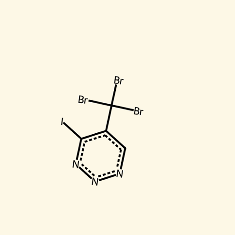 BrC(Br)(Br)c1cnnnc1I